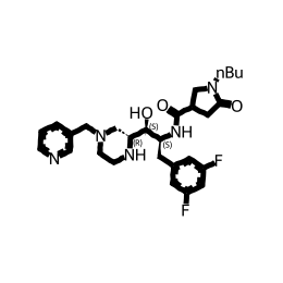 CCCCN1CC(C(=O)N[C@@H](Cc2cc(F)cc(F)c2)[C@H](O)[C@H]2CN(Cc3cccnc3)CCN2)CC1=O